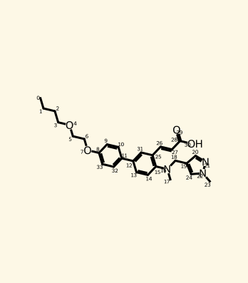 CCCCOCCOc1ccc(-c2ccc(N(C)Cc3cnn(C)c3)c(/C=C/C(=O)O)c2)cc1